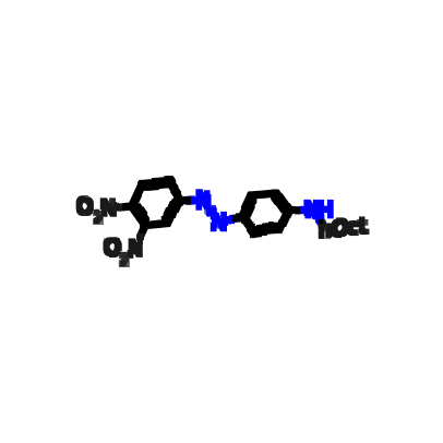 CCCCCCCCNc1ccc(N=Nc2ccc([N+](=O)[O-])c([N+](=O)[O-])c2)cc1